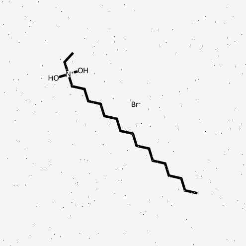 CCCCCCCCCCCCCCCC[N+](O)(O)CC.[Br-]